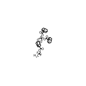 CC(F)(F)COC(=O)C12CC3CC(C1)C1(OCC(COC(=O)C45CC6CC(CC(C6)C4)C5)(COC(=O)C45CC6CC(CC(C6)C4)C5)CO1)C(C3)C2